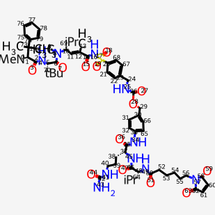 CN[C@H](C(=O)N[C@H](C(=O)N(C)[C@H](/C=C(\C)C(=O)NS(=O)(=O)c1ccc(CNC(=O)OCc2ccc(NC(=O)[C@@H](CCCNC(N)=O)NC(=O)[C@H](NC(=O)CCCCCN3C(=O)C=CC3=O)C(C)C)cc2)cc1)C(C)C)C(C)(C)C)C(C)(C)c1ccccc1